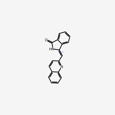 O=C1N/C(=C\c2ccc3ccccc3n2)c2ccccc21